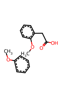 COc1ccccc1.COc1ccccc1CC(=O)O